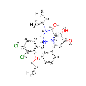 C=CCOc1c([C@@H](c2ccccc2)N2CN([C@@H](C)CC)C(=O)c3c(O)c(=O)ccn32)ccc(Cl)c1Cl